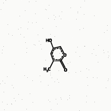 Cc1cc(O)coc1=O